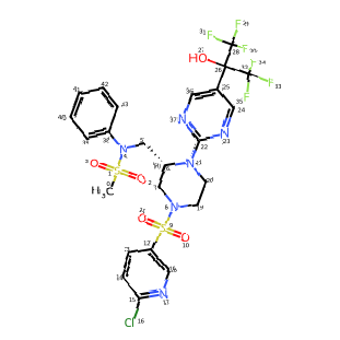 CS(=O)(=O)N(C[C@H]1CN(S(=O)(=O)c2ccc(Cl)nc2)CCN1c1ncc(C(O)(C(F)(F)F)C(F)(F)F)cn1)c1ccccc1